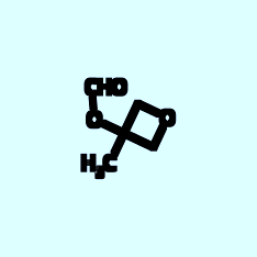 CC1(OC=O)COC1